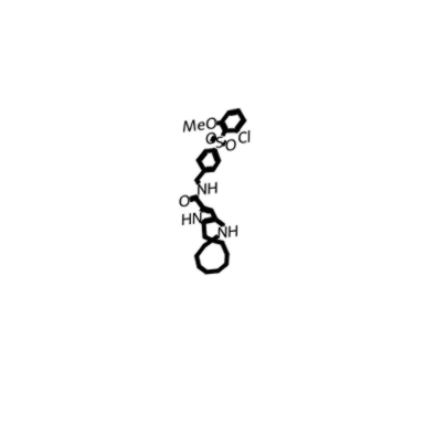 COc1cccc(Cl)c1S(=O)(=O)c1ccc(CNC(=O)c2cc3c([nH]2)CC2(CCCCCCCC2)NC3)cc1